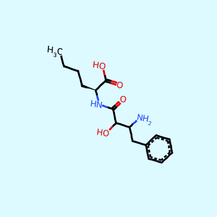 CCCC[C@H](NC(=O)C(O)C(N)Cc1ccccc1)C(=O)O